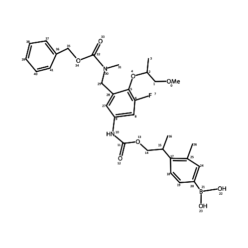 COCC(C)Oc1c(F)cc(NC(=O)OCC(C)c2ccc(B(O)O)cc2C)cc1CN(C)C(=O)OCc1ccccc1